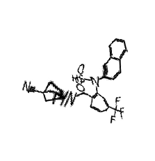 N#CC12CC(NC(=O)c3ccc(C(F)(F)F)cc3N(c3ccc4ccccc4c3)[SH](=O)=O)(C1)C2